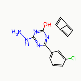 NNc1nc(O)nc(-c2cccc(Cl)c2)n1.c1cc2ccc1-2